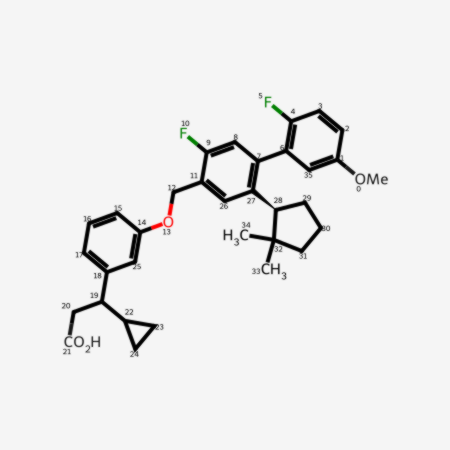 COc1ccc(F)c(-c2cc(F)c(COc3cccc(C(CC(=O)O)C4CC4)c3)cc2[C@H]2CCCC2(C)C)c1